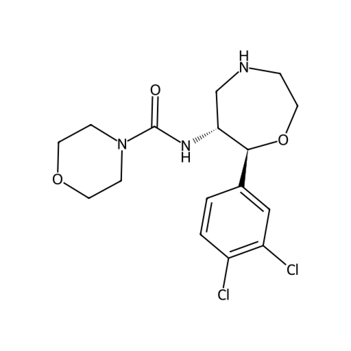 O=C(N[C@@H]1CNCCO[C@H]1c1ccc(Cl)c(Cl)c1)N1CCOCC1